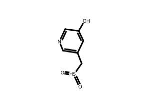 O=[SH](=O)Cc1cncc(O)c1